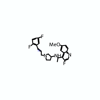 COc1ccc2ncc(F)c(C(C)NC3CCN(C/C=C/c4cc(F)ccc4F)C3)c2c1